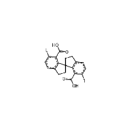 O=C(O)c1c(I)ccc2c1C1(CC2)CCc2ccc(I)c(C(=O)O)c21